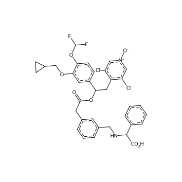 O=C(Cc1cccc(CNC(C(=O)O)c2ccccc2)c1)OC(Cc1c(Cl)c[n+]([O-])cc1Cl)c1ccc(OC(F)F)c(OCC2CC2)c1